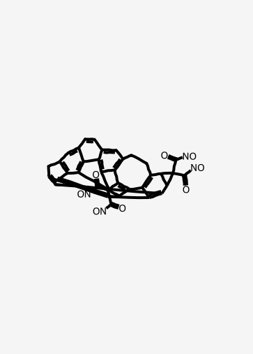 O=NC(=O)C(C(=O)N=O)C1=C2C3=C4CCc5cc6ccc7cc8c9c%10c7c6c(c51)C%10C2c1c3c(cc(c1-9)C8)C1C4C1(C(=O)N=O)C(=O)N=O